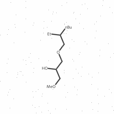 CCCCC(CC)COCC(O)COC